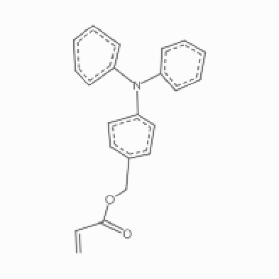 C=CC(=O)OCc1ccc(N(c2ccccc2)c2ccccc2)cc1